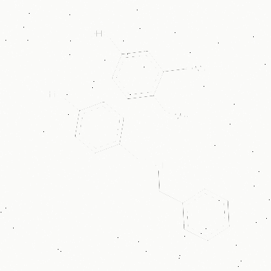 CC(C)c1ccc(C=O)cc1.COc1ccc(C=O)cc1OC.O=CCc1ccccc1